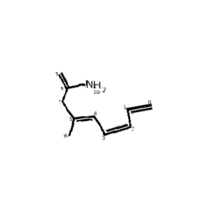 C=C/C=C\C=C(/C)CC(=C)N